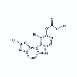 CCc1c(OC(=O)OC(C)C)ncc2[nH]c3ccc4nc(C)sc4c3c12